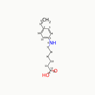 C=Cc1ccc(NCCCCCC(=O)O)cc1